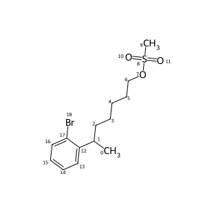 CC(CCCCCOS(C)(=O)=O)c1ccccc1Br